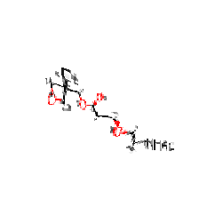 CCC1(COC(=O)CCOCCNC(C)=O)COC1